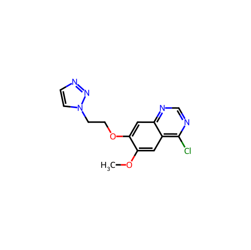 COc1cc2c(Cl)ncnc2cc1OCCn1ccnn1